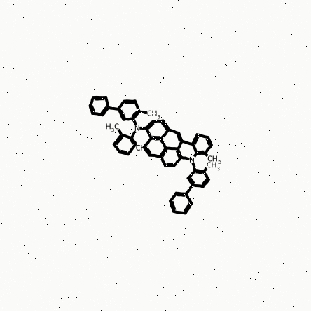 Cc1ccc(-c2ccccc2)cc1N(c1c(C)cccc1C)c1ccc2cc3c4c(ccc5ccc1c2c54)N(c1cc(-c2ccccc2)ccc1C)c1c(C)cccc1-3